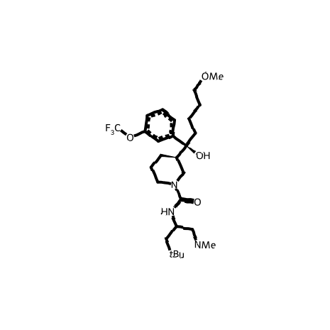 CNCC(CC(C)(C)C)NC(=O)N1CCC[C@@H]([C@@](O)(CCCCOC)c2cccc(OC(F)(F)F)c2)C1